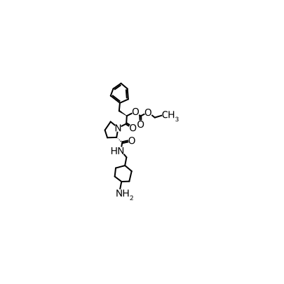 CCOC(=O)O[C@H](Cc1ccccc1)C(=O)N1CCC[C@H]1C(=O)NCC1CCC(N)CC1